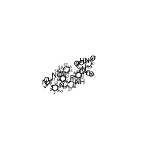 Cc1ccc(-c2c(C)noc2C)cc1N(CC1CCC(Nc2cc3c(=C=O)n(C4CCC(=O)NC4=O)c(=C=O)c3cc2F)CC1)c1ccc(C2(C3(C#N)CC3)C=CC=CC2)cc1